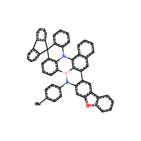 CC(C)(C)c1ccc(N2B3c4cccc5c4N(c4ccccc4C54c5ccccc5-c5ccccc54)c4c3c(cc3ccccc43)-c3cc4c(cc32)oc2ccccc24)cc1